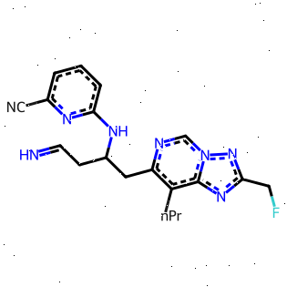 CCCc1c(CC(CC=N)Nc2cccc(C#N)n2)ncn2nc(CF)nc12